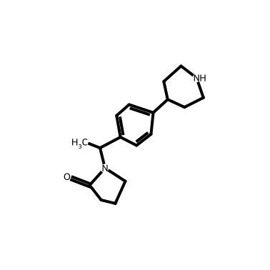 CC(c1ccc(C2CCNCC2)cc1)N1CCCC1=O